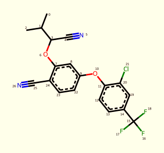 CC(C)C(C#N)Oc1cc(Oc2ccc(C(F)(F)F)cc2Cl)ccc1C#N